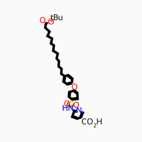 CC(C)(C)OC(=O)CCCCCCCCCCCCCc1ccc(Oc2ccc(S(=O)(=O)Nc3ccc(C(=O)O)cn3)cc2)cc1